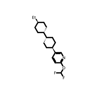 CC[C@H]1CC[C@H]([C@H]2CC[C@H](c3ccc(OC(F)F)nc3)CC2)CC1